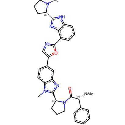 CN[C@@H](C(=O)N1CCC[C@H]1c1nc2cc(-c3cnc(-c4cccc5[nH]c([C@@H]6CCCN6C(C)=O)nc45)o3)ccc2n1C)c1ccccc1